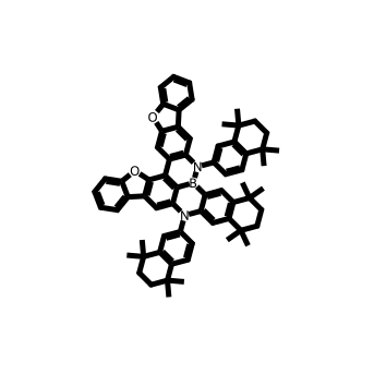 CC1(C)CCC(C)(C)c2cc(N3B4c5cc6c(cc5N(c5ccc7c(c5)C(C)(C)CCC7(C)C)c5cc7c(oc8ccccc87)c(c54)-c4cc5oc7ccccc7c5cc43)C(C)(C)CCC6(C)C)ccc21